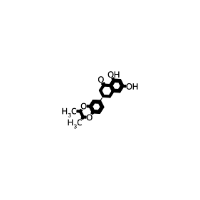 CC1Oc2ccc([C@@H]3CC(=O)c4c(O)cc(O)cc4C3)cc2OC1C